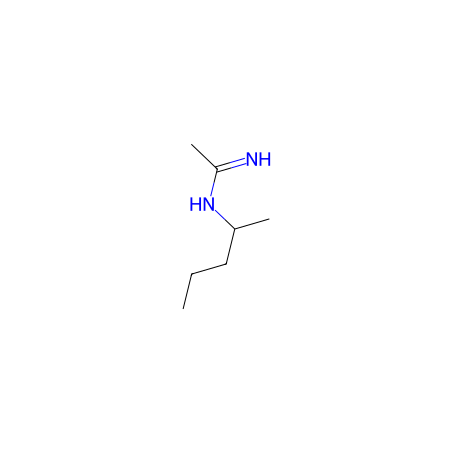 CCCC(C)NC(C)=N